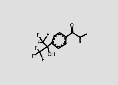 CC(C)C(=O)c1ccc(C(O)(C(F)(F)F)C(F)(F)F)cc1